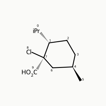 CC(C)[C@@H]1CC[C@@H](C)C[C@]1(Cl)C(=O)O